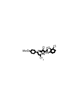 COc1ccc(-c2cc(C(F)(F)F)n3nc(C(=O)Nc4cccc(Cl)c4Cl)c(Cl)c3n2)cc1